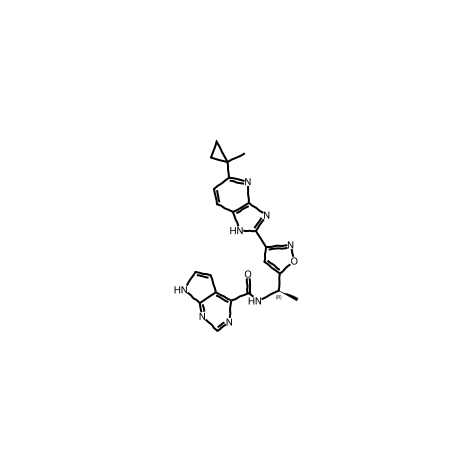 C[C@@H](NC(=O)c1ncnc2[nH]ccc12)c1cc(-c2nc3nc(C4(C)CC4)ccc3[nH]2)no1